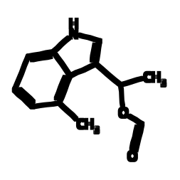 Cc1cccc2[nH]cc(C(C)OC=O)c12